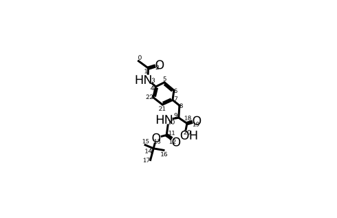 CC(=O)Nc1ccc(CC(NC(=O)OC(C)(C)C)C(=O)O)cc1